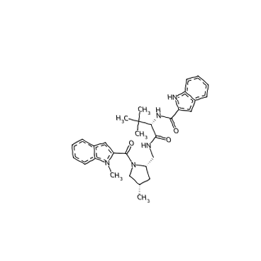 C[C@H]1C[C@@H](CNC(=O)[C@@H](NC(=O)c2cc3ccccc3[nH]2)C(C)(C)C)N(C(=O)c2cc3ccccc3n2C)C1